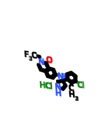 Cc1c(Cl)cccc1C1(Nc2ccc3ccn(CC(F)(F)F)c(=O)c3c2)CCNC1.Cl